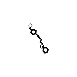 O=Cc1ccc(C#CCCCOc2ccccc2)cc1